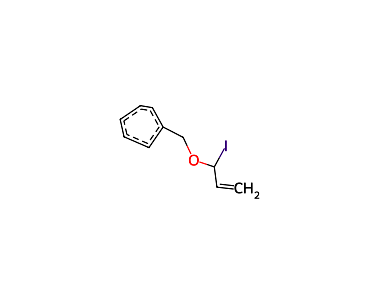 C=CC(I)OCc1ccccc1